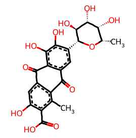 Cc1c(C(=O)O)c(O)cc2c1C(=O)c1cc([C@H]3O[C@@H](C)[C@@H](O)[C@@H](O)[C@@H]3O)c(O)c(O)c1C2=O